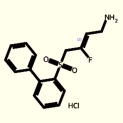 Cl.NC/C=C(\F)CS(=O)(=O)c1ccccc1-c1ccccc1